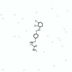 C[C@H](NCc1ccc(COc2cccc(F)c2F)cc1)C(N)=O